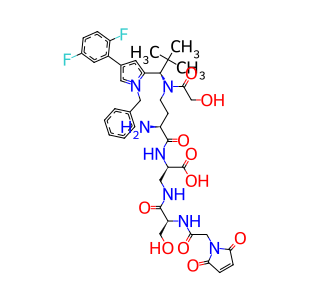 CC(C)(C)[C@H](c1cc(-c2cc(F)ccc2F)cn1Cc1ccccc1)N(CC[C@H](N)C(=O)N[C@H](CNC(=O)[C@H](CO)NC(=O)CN1C(=O)C=CC1=O)C(=O)O)C(=O)CO